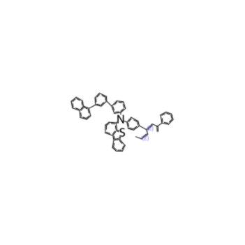 C=C(/C=C(\C=C/C)c1ccc(N(c2cccc(-c3cccc(-c4cccc5ccccc45)c3)c2)c2cccc3c2sc2ccccc23)cc1)c1ccccc1